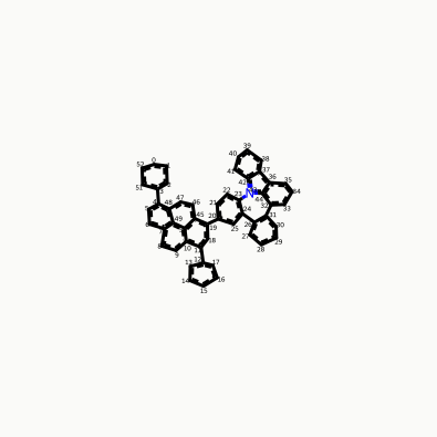 c1ccc(-c2ccc3ccc4c(-c5ccccc5)cc(-c5ccc6c(c5)-c5ccccc5-c5cccc7c8ccccc8n-6c57)c5ccc2c3c45)cc1